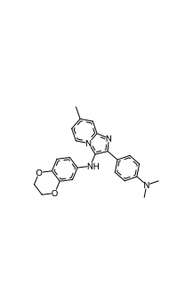 Cc1ccn2c(Nc3ccc4c(c3)OCCO4)c(-c3ccc(N(C)C)cc3)nc2c1